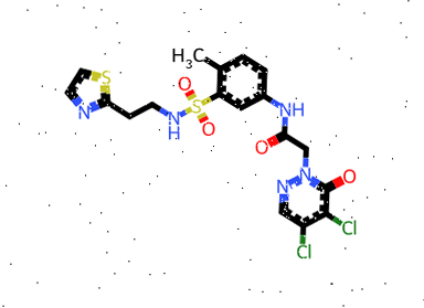 Cc1ccc(NC(=O)Cn2ncc(Cl)c(Cl)c2=O)cc1S(=O)(=O)NCCc1nccs1